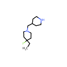 CCC1(F)CCN(CC2CCNCC2)CC1